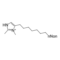 CCCCCCCCCCCCCCCCc1c[nH]c(C)[n+]1C